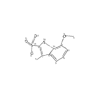 COc1cccc2c(C)c(S(=O)(=O)Cl)sc12